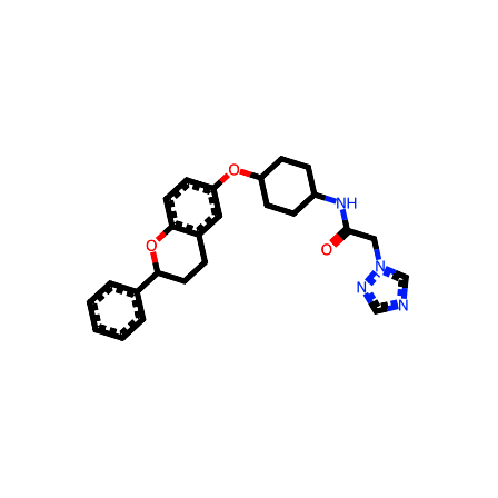 O=C(Cn1cncn1)NC1CCC(Oc2ccc3c(c2)CCC(c2ccccc2)O3)CC1